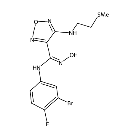 CSCCNc1nonc1C(=NO)Nc1ccc(F)c(Br)c1